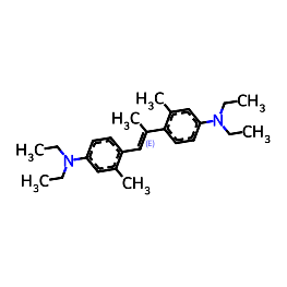 CCN(CC)c1ccc(/C=C(\C)c2ccc(N(CC)CC)cc2C)c(C)c1